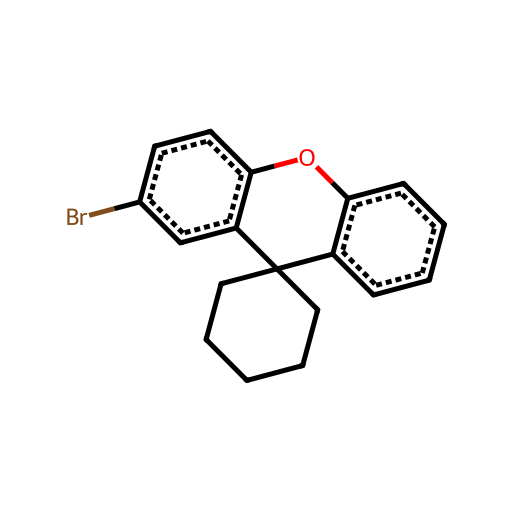 Brc1ccc2c(c1)C1(CCCCC1)c1ccccc1O2